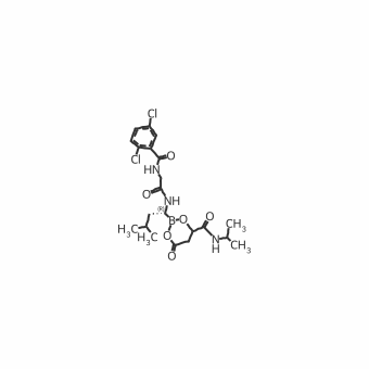 CC(C)C[C@H](NC(=O)CNC(=O)c1cc(Cl)ccc1Cl)B1OC(=O)CC(C(=O)NC(C)C)O1